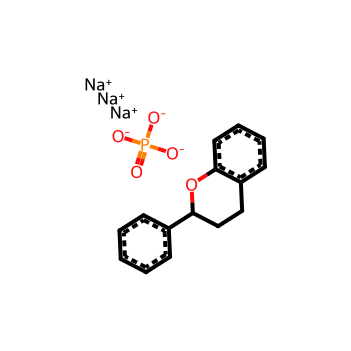 O=P([O-])([O-])[O-].[Na+].[Na+].[Na+].c1ccc(C2CCc3ccccc3O2)cc1